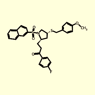 COc1ccc(CS[C@@H]2C[C@@H](CCC(=O)c3ccc(F)cc3)N(S(=O)(=O)c3ccc4ccccc4c3)C2)cc1